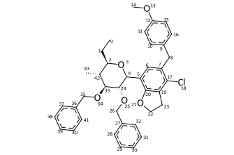 CC[C@H]1OC(c2cc(Cc3ccc(OC)cc3)c(Cl)c3c2OCC3)[C@H](OCc2ccccc2)[C@@H](OCc2ccccc2)[C@@H]1C